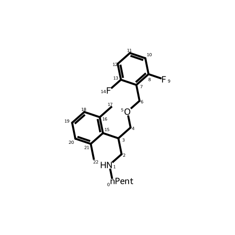 CCCCCNCC(COCc1c(F)cccc1F)c1c(C)cccc1C